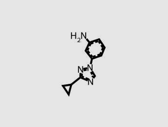 Nc1cccc(-n2cnc(C3CC3)n2)c1